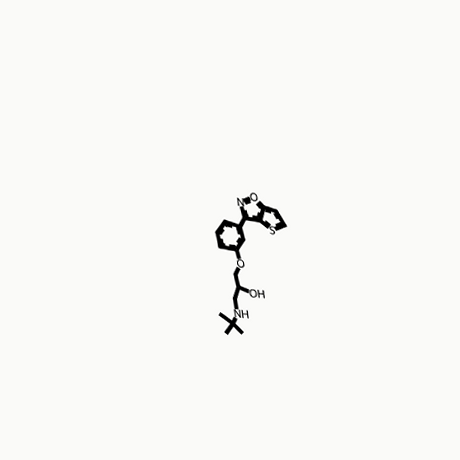 CC(C)(C)NCC(O)COc1cccc(-c2noc3ccsc23)c1